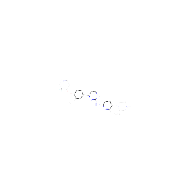 COc1nc(Nc2nccc(-c3ccc(OC4CCNCC4(F)F)c(C#N)c3)n2)ccc1N1CCN(C)C(C)C1.Cl